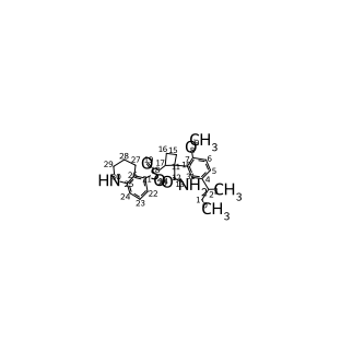 CCC(C)c1ccc(OC)c(C2(C(N)=O)CCC2S(=O)(=O)c2cccc3c2CCCN3)c1